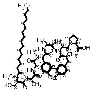 CCCCCCCCCCCCCCCC(=O)N(C)[C@H](CO)C(=O)N[C@H](C)C(=O)NCC(=O)N(C)[C@H](C(=O)N[C@@H](C)C(C)=O)c1ccc(O)c(-c2cc(C[C@H](C)C(=O)N[C@@H](C)C(=O)N3CCCC3C(=O)O)ccc2O)c1